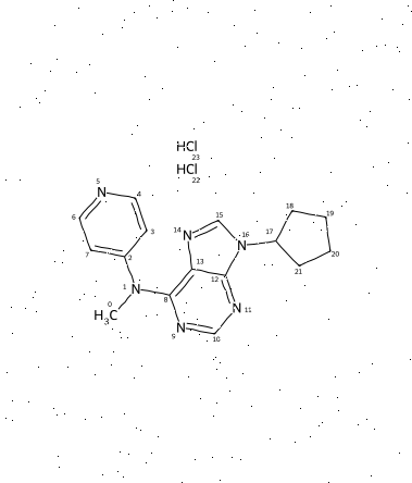 CN(c1ccncc1)c1ncnc2c1ncn2C1CCCC1.Cl.Cl